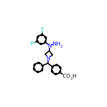 NN(c1cc(F)cc(F)c1)C1CN(C(c2ccccc2)c2ccc(C(=O)O)cc2)C1